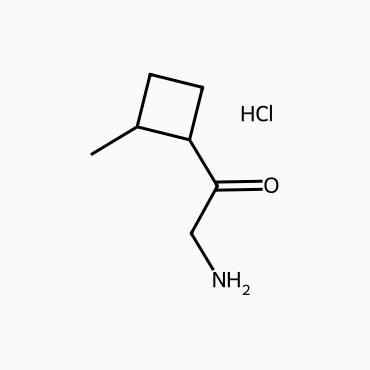 CC1CCC1C(=O)CN.Cl